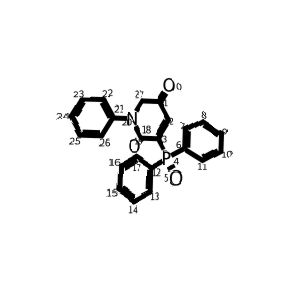 O=C1C=C(P(=O)(c2ccccc2)c2ccccc2)C(=O)N(c2ccccc2)C1